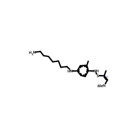 CN/C=C(/C)SNc1ccc(NCCCCCCCN)cc1C